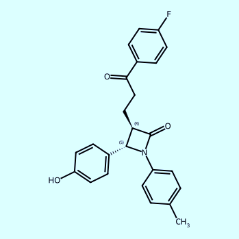 Cc1ccc(N2C(=O)[C@H](CCC(=O)c3ccc(F)cc3)[C@H]2c2ccc(O)cc2)cc1